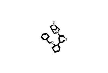 c1ccc(COc2ccccc2-c2cncc(N3CC4CNC(C4)C3)c2)cc1